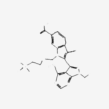 COC(=O)c1ccc2c(Cl)c(-c3nn(CC(F)(F)F)c4ncnc(N)c34)n(COCC[Si](C)(C)C)c2c1